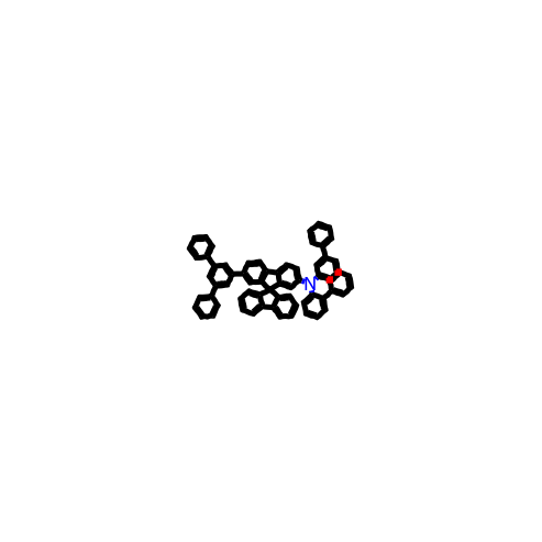 c1ccc(-c2cc(-c3ccccc3)cc(-c3ccc4c(c3)C3(c5ccccc5-c5ccccc53)c3cc(N(c5cccc(-c6ccccc6)c5)c5ccccc5-c5ccccc5)ccc3-4)c2)cc1